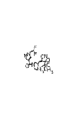 CC1(C)C[C@]2(C=C(C#N)C1=O)CCN(C(=O)c1cnn(CC(F)F)c1)C2